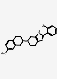 COc1ccc2c(c1)CC(N1CCc3nc(-c4ccccc4Cl)[nH]c3C1)CC2